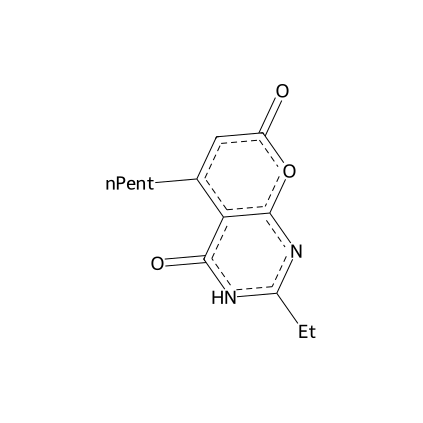 CCCCCc1cc(=O)oc2nc(CC)[nH]c(=O)c12